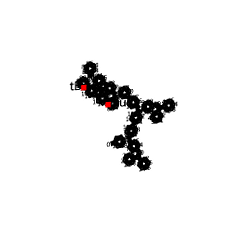 Cc1ccc(N(c2ccc(C=C(c3ccccc3)c3ccccc3)cc2)c2ccc(-c3ccc(N(c4ccc(C=C(c5ccccc5)c5ccccc5)cc4)c4ccc(-c5cccc(N(c6ccccc6)c6ccc7c(c6)C6(c8cc(N(c9ccccc9)c9ccccc9)ccc8-7)c7cc(C(C)(C)C)ccc7-c7ccc(C(C)(C)C)cc76)c5)cc4)cc3)cc2)cc1